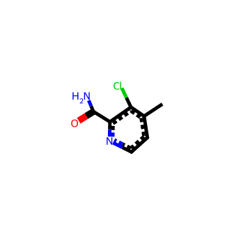 Cc1ccnc(C(N)=O)c1Cl